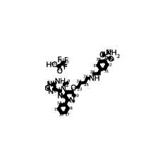 CCn1c(-c2nonc2N)nc2c(-c3ccccc3)ncc(OCCCCNCCc3ccc(S(N)(=O)=O)cc3)c21.O=C(O)C(F)(F)F